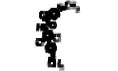 CCSc1ccc(-c2c(Cl)cc(NC(=O)C(CO)c3ccc(SCC)cc3)cc2Cl)cc1